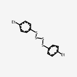 CCc1ccc(SSSSc2ccc(CC)cc2)cc1